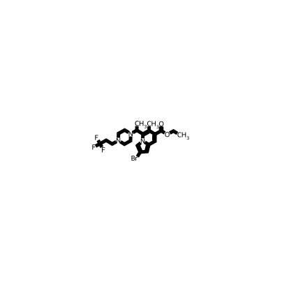 CCOC(=O)c1cc2cc(Br)cn2c(C(C)N2CCN(CCC(F)(F)F)CC2)c1C